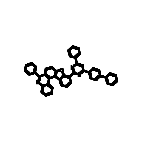 c1ccc(-c2ccc(-c3cc(-c4ccccc4)nc(-c4cccc5c4oc4ccc6c(-c7ccccc7)nc7ccccc7c6c45)n3)cc2)cc1